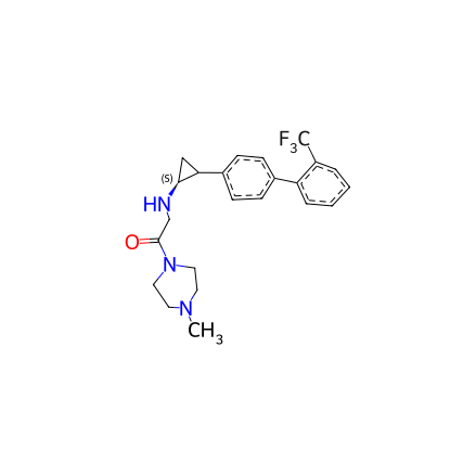 CN1CCN(C(=O)CN[C@H]2CC2c2ccc(-c3ccccc3C(F)(F)F)cc2)CC1